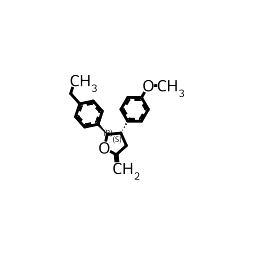 C=C1C[C@@H](c2ccc(OC)cc2)[C@H](c2ccc(CC)cc2)O1